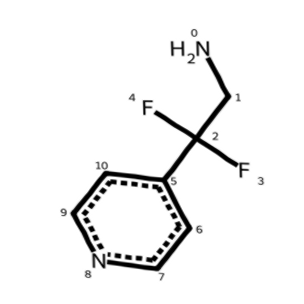 NCC(F)(F)c1ccncc1